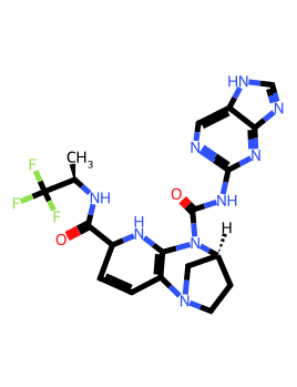 C[C@@H](NC(=O)C1C=CC2=C(N1)N(C(=O)Nc1ncc3[nH]cnc3n1)[C@H]1CCN2C1)C(F)(F)F